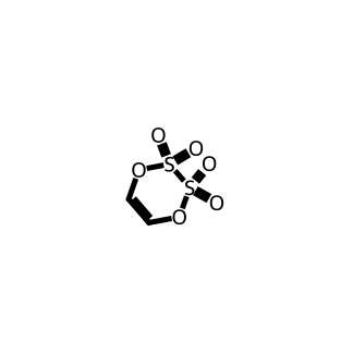 O=S1(=O)OC=COS1(=O)=O